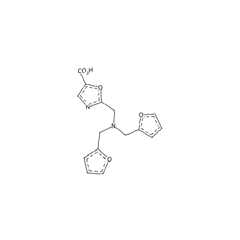 O=C(O)c1cnc(CN(Cc2ccco2)Cc2ccco2)o1